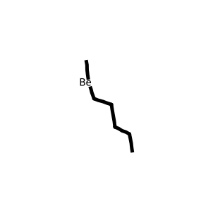 [CH3][Be][CH2]CCCC